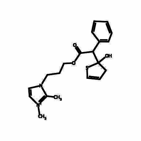 Cc1n(CCCOC(=O)C(c2ccccc2)C2(O)CC=CS2)cc[n+]1C